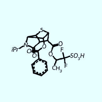 CC(C)N1C(=O)C2C3SC(C(OC(=O)c4ccccc4)C31)C2C(=O)OC(C)C(F)(F)S(=O)(=O)O